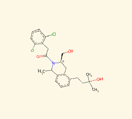 CC1c2cccc(CCC(C)(C)O)c2C[C@H](CO)N1C(=O)Cc1c(Cl)cccc1Cl